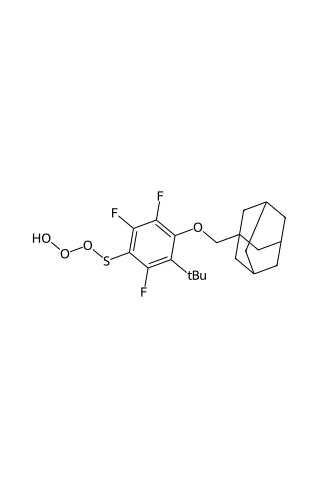 CC(C)(C)c1c(F)c(SOOO)c(F)c(F)c1OCC12CC3CC(CC(C3)C1)C2